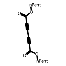 CCCCCOC(=O)C#CC#CC(=O)OCCCCC